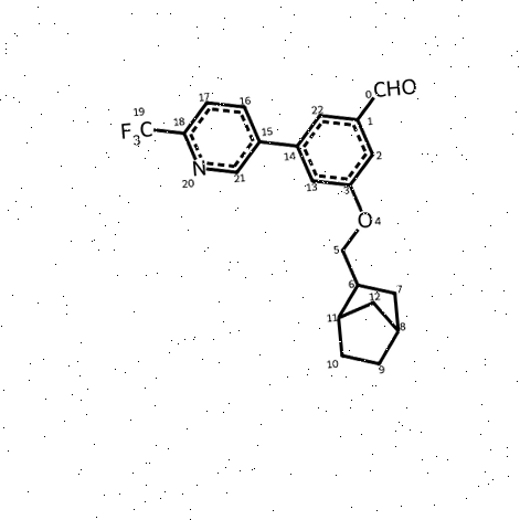 O=Cc1cc(OCC2CC3CCC2C3)cc(-c2ccc(C(F)(F)F)nc2)c1